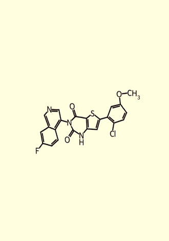 COc1ccc(Cl)c(-c2cc3[nH]c(=O)n(-c4cncc5cc(F)ccc45)c(=O)c3s2)c1